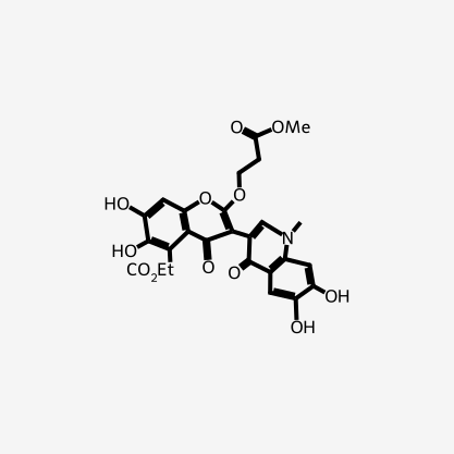 CCOC(=O)c1c(O)c(O)cc2oc(OCCC(=O)OC)c(-c3cn(C)c4cc(O)c(O)cc4c3=O)c(=O)c12